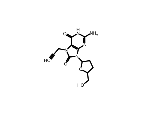 C#CCn1c(=O)n(C2CCC(CO)O2)c2nc(N)[nH]c(=O)c21